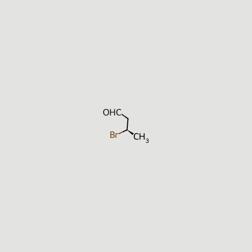 C[C@@H](Br)CC=O